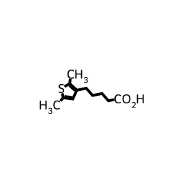 Cc1cc(CCCCC(=O)O)c(C)s1